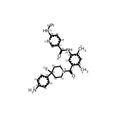 Cc1cc(C)c(C(=O)N2CCC(F)(c3ccc(N)cc3)CC2)cc1NC(=O)c1ccc(NC(C)C)nc1